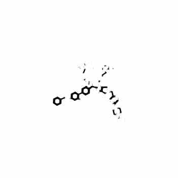 CCc1cc(OCc2ccccc2)ccc1-c1ccc2c(-c3nc4c(n3COCC[Si](C)(C)C)CN(C(=O)c3cnc(N5CCN(C)CC5)cn3)C4)nn(COCC[Si](C)(C)C)c2c1